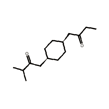 CCC(=O)C[C@H]1CC[C@@H](CC(=O)C(C)C)CC1